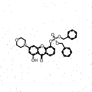 O=c1c2cccc(OP(=O)(OCc3ccccc3)OCc3ccccc3)c2oc2cc(N3CCOCC3)cc(O)c12